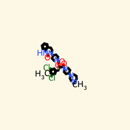 Cc1c(Cl)cc(C[C@@H](OC(=O)N2CCC(N3CCc4ccccc4NC3=O)CC2)C(=O)N2CCC(N3CCCN(C)CC3)CC2)cc1Cl